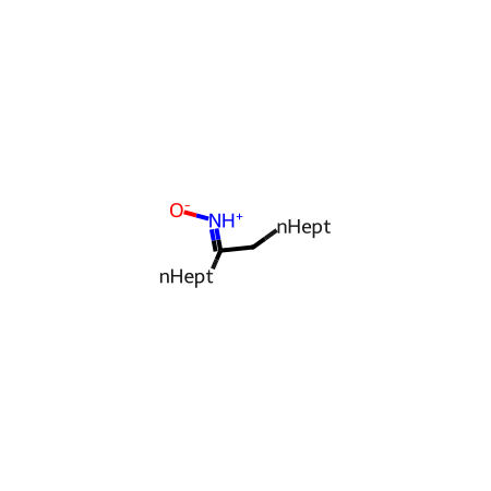 CCCCCCCCC(CCCCCCC)=[NH+][O-]